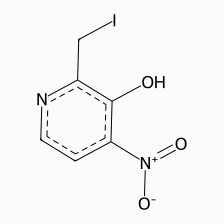 O=[N+]([O-])c1ccnc(CI)c1O